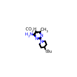 Cc1nc(N2CCC(C(C)(C)C)CC2)nc(N)c1C(=O)O